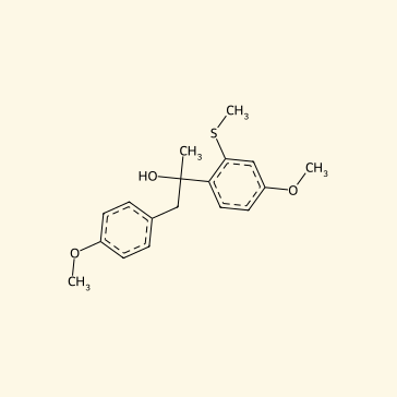 COc1ccc(CC(C)(O)c2ccc(OC)cc2SC)cc1